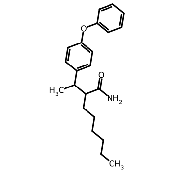 CCCCCCC(C(N)=O)C(C)c1ccc(Oc2ccccc2)cc1